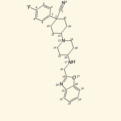 N#CC1(c2ccc(F)cc2)CCC(N2CCC(NCc3nc4ccccc4o3)CC2)CC1